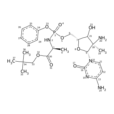 C[C@H](NP(=O)(OC[C@H]1O[C@@H](n2ccc(N)nc2=O)[C@](C)(N)C1O)Oc1ccccc1)C(=O)OCC(C)(C)C